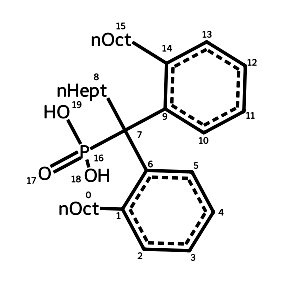 CCCCCCCCc1ccccc1C(CCCCCCC)(c1ccccc1CCCCCCCC)P(=O)(O)O